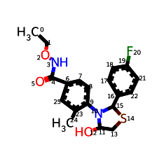 CCONC(=O)c1ccc(N2C(O)CSC2c2ccc(F)cc2)c(C)c1